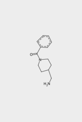 NCC1CCN(C(=O)c2ccccc2)CC1